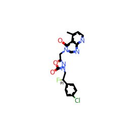 Cc1ccnc2ncn(Cc3nn(C[C@H](F)c4ccc(Cl)cc4)c(=O)o3)c(=O)c12